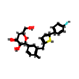 Cc1ccc([C@@H]2O[C@H](CO)CC(=O)[C@@H]2O)cc1Cc1ccc(-c2ccc(F)cc2)s1